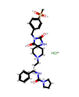 CS(=O)(=O)c1ccc(CN2C(=O)NC3(CCN(CC[C@H](NC(=O)N4CCCC4)c4ccccc4)CC3)C2=O)cc1.Cl